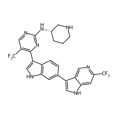 FC(F)(F)c1cc2[nH]cc(-c3ccc4c(-c5nc(N[C@H]6CCCNC6)ncc5C(F)(F)F)c[nH]c4c3)c2cn1